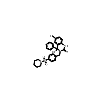 O=C1Nc2ccc(Cl)cc2C(O)(c2ccccc2)N1Cc1ccc(S(=O)(=O)N2CCCCC2)cc1